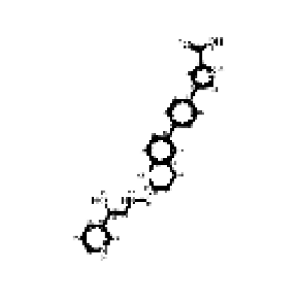 O=C(O)c1cc(-c2ccc(-c3ccc4c(c3)CC[C@H](CNC[C@H](O)c3cccnc3)O4)cc2)cs1